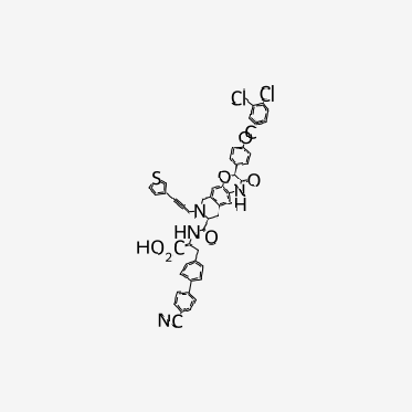 N#Cc1ccc(-c2ccc(CC(NC(=O)[C@@H]3Cc4cc5c(cc4CN3CC#Cc3ccsc3)O[C@@H](c3ccc(OCc4ccc(Cl)c(Cl)c4)cc3)C(=O)N5)C(=O)O)cc2)cc1